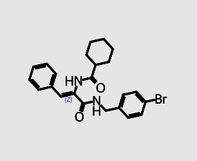 O=C(NCc1ccc(Br)cc1)/C(=C/c1ccccc1)NC(=O)C1CCCCC1